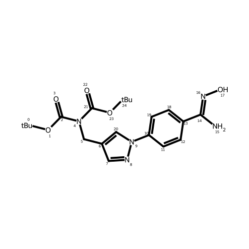 CC(C)(C)OC(=O)N(Cc1cnn(-c2ccc(C(N)=NO)cc2)c1)C(=O)OC(C)(C)C